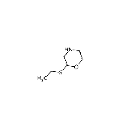 CCSC1CNCCO1